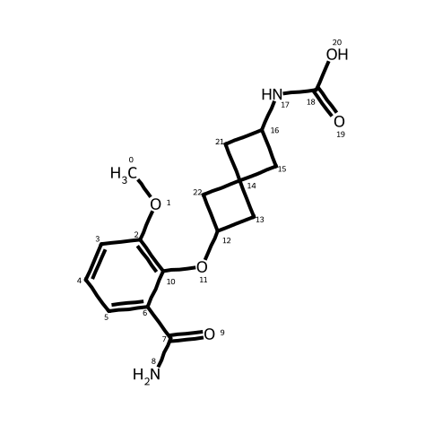 COc1cccc(C(N)=O)c1OC1CC2(CC(NC(=O)O)C2)C1